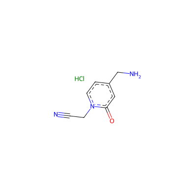 Cl.N#CCn1ccc(CN)cc1=O